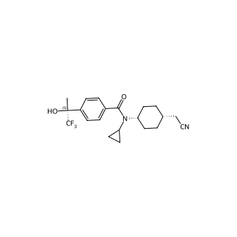 C[C@](O)(c1ccc(C(=O)N(C2CC2)[C@H]2CC[C@@H](CC#N)CC2)cc1)C(F)(F)F